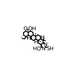 CC[C@]1(C)[C@H](C)CC[C@]2(C(=O)O)CC[C@]3(C)C(=CC[C@@H]4[C@@]5(C)Cc6c(O)nc(S)nc6C(C)(C)[C@@H]5CC[C@]43C)[C@@H]21